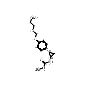 COCCOCOc1ccc([C@@H]2C[C@H]2NC(=O)OC(C)(C)C)cc1